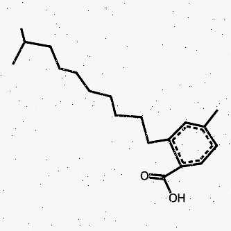 Cc1ccc(C(=O)O)c(CCCCCCCCC(C)C)c1